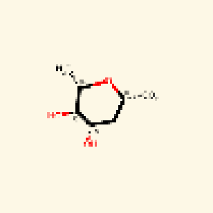 C[C@@H]1O[C@H](C(=O)O)C[C@H](O)[C@H]1O